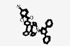 N#Cc1ccc2c(=O)c3cc4c(cc3oc2c1)-c1ccccc1C41c2ccccc2N(c2cc(-c3ccccc3)cc(-c3ccccc3)c2)c2ccccc21